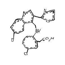 O=C(O)c1cc(Cl)ccc1Nc1c(-c2ncco2)cnc2ccc(Cl)cc12